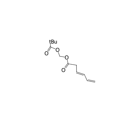 C=CC=CCC(=O)OCOC(=O)C(C)(C)C